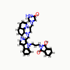 O=C1CN(CCCN(Cc2nccc3c4ccccc4n(CCCN4C(=O)c5ccccc5C4=O)c23)[C@H]2CCCc3cccnc32)CCN1